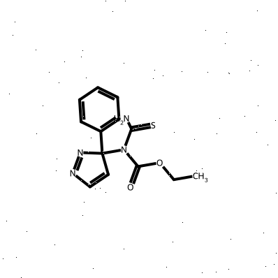 CCOC(=O)N(C(N)=S)C1(c2ccccc2)C=CN=N1